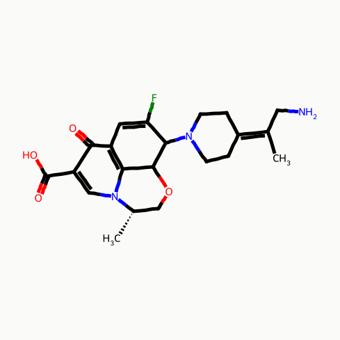 CC(CN)=C1CCN(C2C(F)=Cc3c4n(cc(C(=O)O)c3=O)[C@@H](C)COC42)CC1